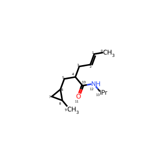 C/C=C/CC(CC1CC1C)C(=O)NC(C)C